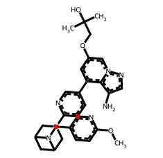 COc1ccc(CN2C3CC2CN(c2ccc(-c4cc(OCC(C)(C)O)cn5ncc(N)c45)cn2)C3)cn1